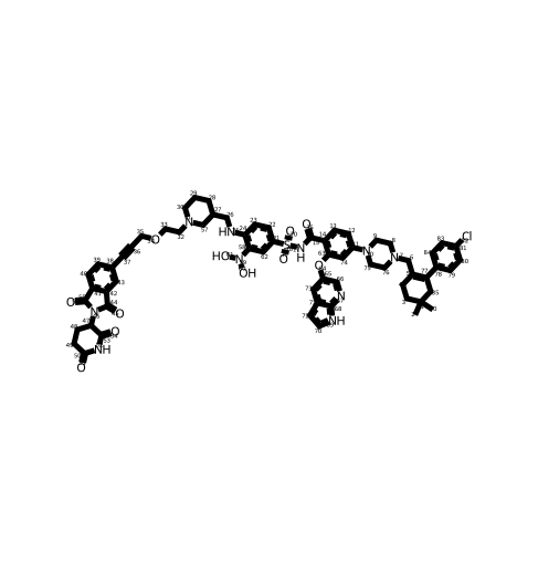 CC1(C)CCC(CN2CCN(c3ccc(C(=O)NS(=O)(=O)c4ccc(NCC5CCCN(CCOCC#Cc6ccc7c(c6)C(=O)N(C6CCC(=O)NC6=O)C7=O)C5)c(N(O)O)c4)c(Oc4cnc5[nH]ccc5c4)c3)CC2)=C(c2ccc(Cl)cc2)C1